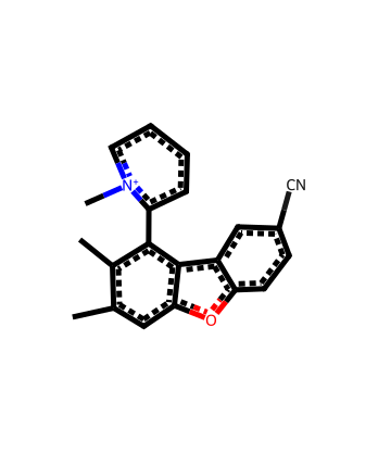 Cc1cc2oc3ccc(C#N)cc3c2c(-c2cccc[n+]2C)c1C